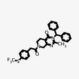 Cc1nc2c(c(=O)n1C(c1ccccc1)c1ccccc1)CCN(C(=O)Cc1ccc(SC(F)(F)F)cc1)C2